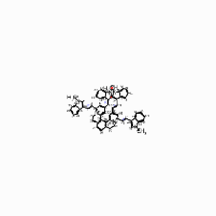 CN1C/C(=C/c2cc(/C=C/c3cn(C)c4ccccc34)[n+]3c(c2)-c2c(ccc4c2-c2cc(/C=C/c5cn(C)c6ccccc56)cc(/C=C/c5cn(C)c6ccccc56)[n+]2CC4)CC3)c2ccccc21